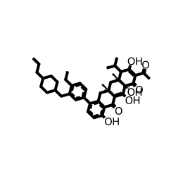 CCCC1CCC(Cc2cc(-c3ccc(O)c4c3C[C@]3(C)C[C@]5(C)C(C(C)C)C(O)=C(C(C)=O)C(=O)[C@]5(O)C(O)=C3C4=O)ccc2CC)CC1